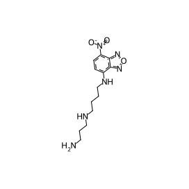 NCCCNCCCCNc1ccc([N+](=O)[O-])c2nonc12